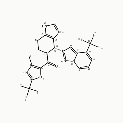 Cc1nc(C(C)(C)F)oc1C(=O)N1CCc2[nH]cnc2[C@@H]1S1=NN2C=CC=C(C(F)(F)F)C2=C1